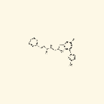 CC(=O)c1ccc(-c2cc(F)cc3c2OC(CNC(=O)C=Cc2cccnc2)C3)s1